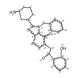 NC1CCCN(c2nc3ncn(CC(=O)c4ccccc4O)c(=O)c3n2Cc2ccccc2)C1